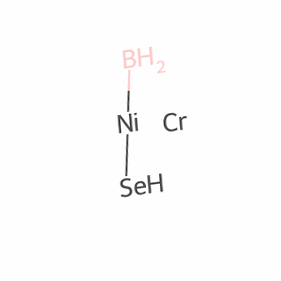 [BH2][Ni][SeH].[Cr]